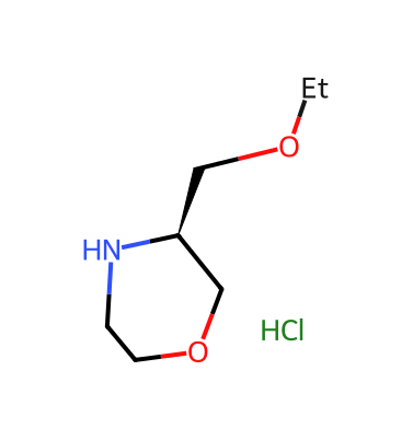 CCOC[C@H]1COCCN1.Cl